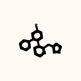 Fc1ccc(-c2cccnc2Cn2ccnc2)c(-c2ccccc2)c1